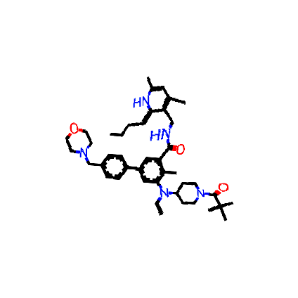 CCC/C=C1\NC(C)=CC(C)=C1CNC(=O)c1cc(-c2ccc(CN3CCOCC3)cc2)cc(N(CC)C2CCN(C(=O)C(C)(C)C)CC2)c1C